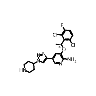 C[C@H](Oc1cc(-c2cn(C3CCNCC3)nn2)cnc1N)c1c(Cl)ccc(F)c1Cl